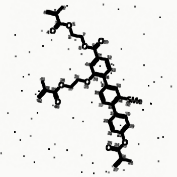 C=C(C)C(=O)OCCOC(=O)c1ccc(-c2ccc(-c3ccc(OC(=O)C(=C)C)cc3)c(SC)c2)c(OCCOC(=O)C(=C)C)c1